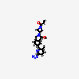 C=CC(=O)N1CC(N2Cc3ccc(-c4nc(N)ccc4C)cc3C2=O)C1